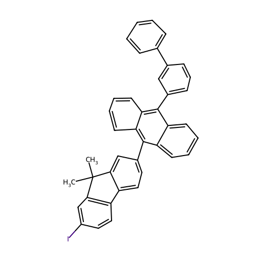 CC1(C)c2cc(I)ccc2-c2ccc(-c3c4ccccc4c(-c4cccc(-c5ccccc5)c4)c4ccccc34)cc21